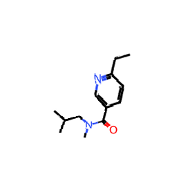 CCc1ccc(C(=O)N(C)CC(C)C)cn1